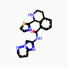 O=C(Nc1cn2ncccc2n1)c1cccc2c1C(c1nccs1)NCC2